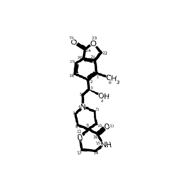 Cc1c([C@@H](O)CN2CCC3(CC2)OCCNC3=O)ccc2c1COC2=O